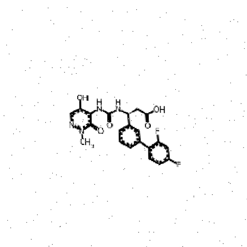 Cn1ncc(O)c(NC(=O)N[C@@H](CC(=O)O)c2cccc(-c3ccc(F)cc3F)c2)c1=O